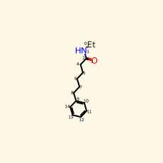 CCNC(=O)CCCCCc1ccccc1